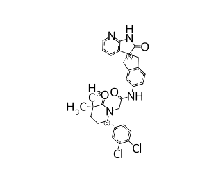 CC1(C)CC[C@@H](c2ccc(Cl)c(Cl)c2)N(CC(=O)Nc2ccc3c(c2)C[C@@]2(C3)C(=O)Nc3ncccc32)C1=O